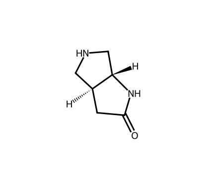 O=C1C[C@H]2CNC[C@@H]2N1